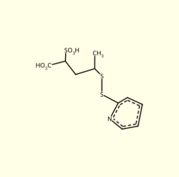 CC(CC(C(=O)O)S(=O)(=O)O)SSc1ccccn1